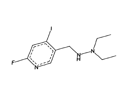 CCN(CC)NCc1cnc(F)cc1I